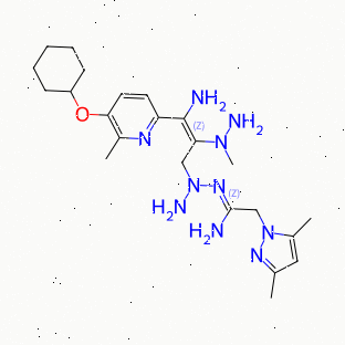 Cc1cc(C)n(C/C(N)=N/N(N)C/C(=C(/N)c2ccc(OC3CCCCC3)c(C)n2)N(C)N)n1